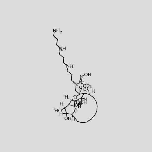 C[C@H]1CCCCCCCCC[C@H]2O[C@H](CO)C([C@H]3O[C@H](CN(CCCNCCCNCCCN)/[N+](O)=N/O)C1[C@H](O)[C@H]3O)[C@H](O)[C@H]2O